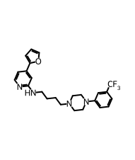 FC(F)(F)c1cccc(N2CCN(CCCCNc3cc(-c4ccco4)ccn3)CC2)c1